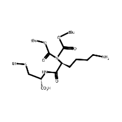 CCSC[C@H](NC(=O)[C@H](CCCCN)N(C(=O)OC(C)(C)C)C(=O)OC(C)(C)C)C(=O)O